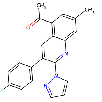 CC(=O)c1cc(C)cc2nc(-n3cccn3)c(-c3ccc(F)cc3)cc12